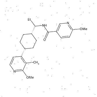 CCC(NC(=O)c1ccc(OC)nc1)[C@H]1CC[C@@H](c2ccnc(OC)c2C)CC1